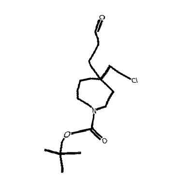 CC(C)(C)OC(=O)N1CCC(CCl)(CCC=O)CC1